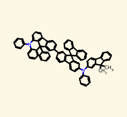 CC1(C)c2ccccc2-c2ccc(N(c3ccccc3)c3ccc4c(c3)C3(c5ccccc5-c5ccccc53)c3cc(-c5ccc6c(c5)C5(c7ccccc7)c7ccccc7N(c7ccccc7)c7cccc-6c75)ccc3-4)cc21